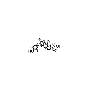 Cc1c(N(C(=O)O)C(C)(C)C)ccc2nc(N[C@@H](Cc3cc(I)c(O)c(I)c3)C(=O)N(C)C)oc(=O)c12